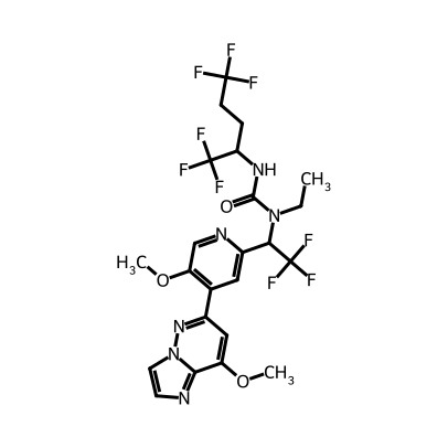 CCN(C(=O)NC(CCC(F)(F)F)C(F)(F)F)C(c1cc(-c2cc(OC)c3nccn3n2)c(OC)cn1)C(F)(F)F